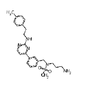 Cc1ccc(CCNc2nccc(-c3cccc(CN(CCCN)S(C)(=O)=O)c3)n2)cc1